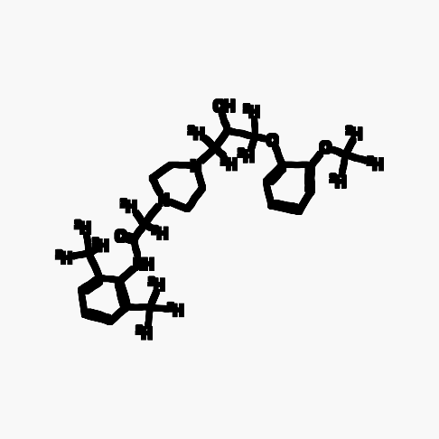 [2H]C([2H])([2H])Oc1ccccc1OC([2H])([2H])C(O)C([2H])([2H])N1CCN(C([2H])([2H])C(=O)Nc2c(C([2H])([2H])[2H])cccc2C([2H])([2H])[2H])CC1